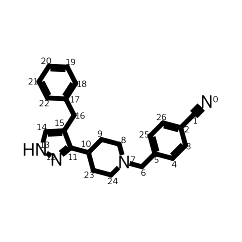 N#Cc1ccc(CN2CCC(c3n[nH]cc3Cc3ccccc3)CC2)cc1